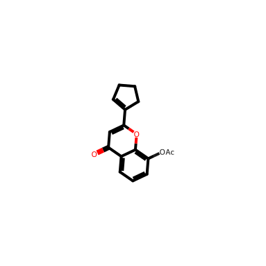 CC(=O)Oc1cccc2c(=O)cc(C3=CCCC3)oc12